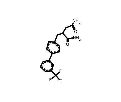 NC(=O)CC(Cc1ccc(-c2cccc(C(F)(F)F)c2)cc1)C(N)=O